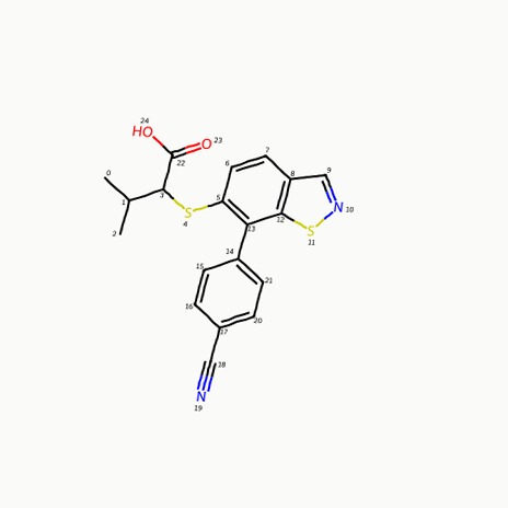 CC(C)C(Sc1ccc2cnsc2c1-c1ccc(C#N)cc1)C(=O)O